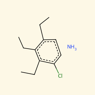 CCc1ccc(Cl)c(CC)c1CC.N